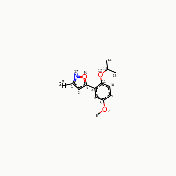 [2H]c1cc(-c2cc(OC)ccc2OC(C)C)on1